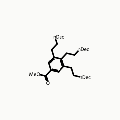 CCCCCCCCCCCCc1cc(C(=O)OC)cc(CCCCCCCCCCCC)c1CCCCCCCCCCCC